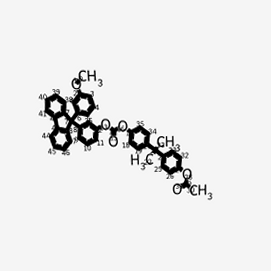 COc1cccc(C2(c3cccc(OC(=O)Oc4ccc(C(C)(C)c5ccc(OC(C)=O)cc5)cc4)c3)c3ccccc3-c3ccccc32)c1